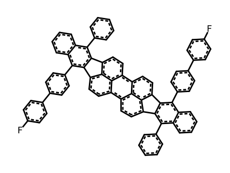 Fc1ccc(-c2ccc(-c3c4c(c(-c5ccccc5)c5ccccc35)-c3ccc5c6ccc7c8c(ccc(c9ccc-4c3c59)c86)-c3c-7c(-c4ccc(-c5ccc(F)cc5)cc4)c4ccccc4c3-c3ccccc3)cc2)cc1